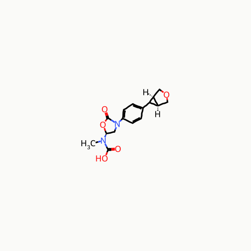 CN(C(=O)O)[C@@H]1CN(c2ccc(C3[C@H]4COC[C@@H]34)cc2)C(=O)O1